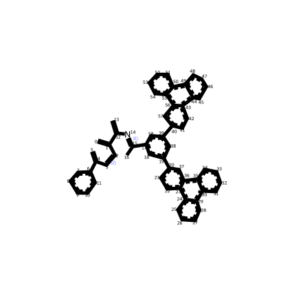 C=C(/C=C\C(=C)c1ccccc1)C(=C)/N=C(\C)c1cc(-c2ccc3c4ccccc4c4ccccc4c3c2)cc(-c2ccc3c4ccccc4c4ccccc4c3c2)c1